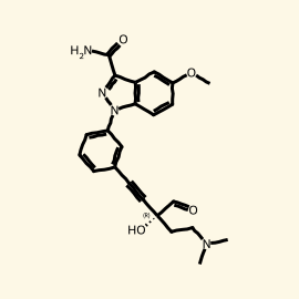 COc1ccc2c(c1)c(C(N)=O)nn2-c1cccc(C#C[C@@](O)(C=O)CCN(C)C)c1